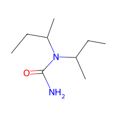 CCC(C)N(C(N)=O)C(C)CC